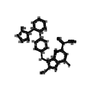 CCCc1nc2c(C)cc(C(=O)OC)nc2n1Cc1ccc(-c2ncccc2-c2nnn[nH]2)cc1